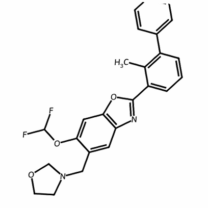 Cc1c(-c2ccccc2)cccc1-c1nc2cc(CN3CCOC3)c(OC(F)F)cc2o1